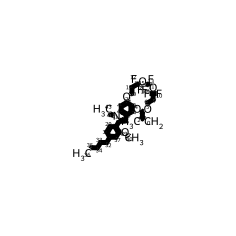 C=C(C)C(=O)OCCC(F)(F)OC(F)(F)OC(F)(F)CCOc1ccc2cc(-c3ccc(CCCCC)cc3OC)n(CC)c2c1